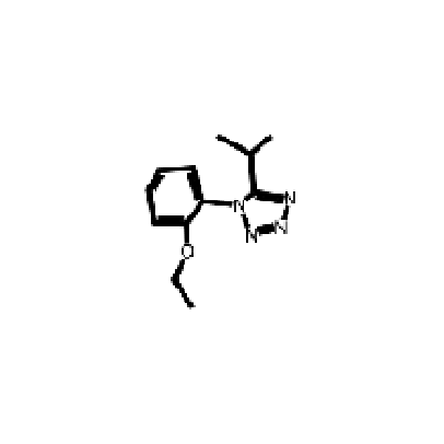 CCOc1ccccc1-n1nnnc1C(C)C